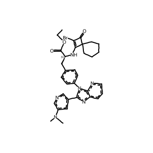 CCOC(=O)[C@H](Cc1ccc(-n2c(-c3cncc(N(C)C)c3)nc3cccnc32)cc1)NC1=C(Br)C(=O)C12CCCCC2